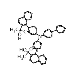 CC(C)(O)c1ccc2ccccc2c1-c1ccc(N(c2ccc(-c3ccccc3)cc2)c2ccc(-c3c(C(C)(C)O)ccc4ccccc34)cc2)cc1